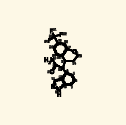 NC(=O)N(c1cccc2[nH]ncc12)C1CCOc2cc(C(F)(F)F)ccc21